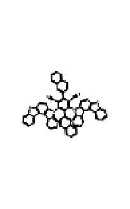 N#Cc1c(-c2ccc3ccccc3c2)c(C#N)c(-n2c3ccccc3c3c4c(ccc32)sc2ccccc24)c(-c2ccc3ccccc3c2)c1-n1c2ccccc2c2c3c(ccc21)sc1ccccc13